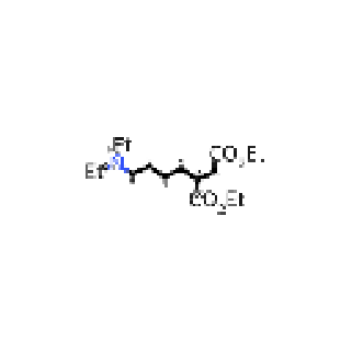 CCOC(=O)CC(CCCCN(CC)CC)C(=O)OCC